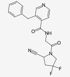 N#CC1CC(F)(F)CN1C(=O)CNC(=O)c1ccncc1Cc1ccccc1